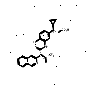 C[C@H]([C@@H](C(=O)Nc1cc([C@@H](CC(=O)O)C2CC2)ccc1Cl)c1cc2ccccc2cn1)C(F)(F)F